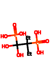 CCC(CC)(C(O)(O)P(=O)(O)O)P(=O)(O)O